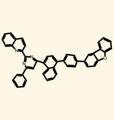 c1ccc(-c2cc(-c3ccc(-c4ccc(-c5ccc6oc7ccccc7c6c5)cc4)c4ccccc34)nc(-c3ccc4ccccc4n3)n2)cc1